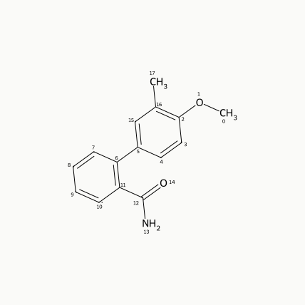 COc1ccc(-c2ccc[c]c2C(N)=O)cc1C